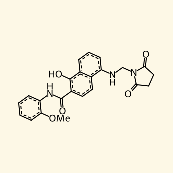 COc1ccccc1NC(=O)c1ccc2c(NCN3C(=O)CCC3=O)cccc2c1O